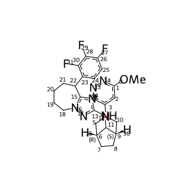 COc1cc(N2C[C@H]3CC[C@@H](C2)C3Nc2nc3n(n2)CCCCC3c2ccc(F)c(F)c2F)cnn1